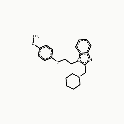 COc1ccc(OCCn2c(CN3CCCCC3)nc3ccccc32)cc1